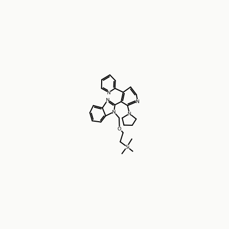 C[Si](C)(C)CCOCn1c(-c2c(-c3ccccn3)ccnc2N2CCCC2)nc2ccccc21